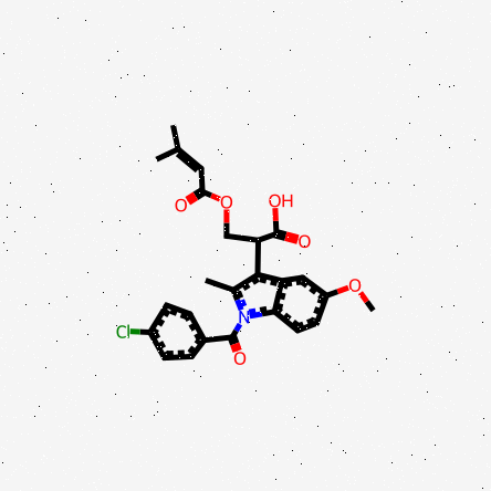 COc1ccc2c(c1)c(C(COC(=O)C=C(C)C)C(=O)O)c(C)n2C(=O)c1ccc(Cl)cc1